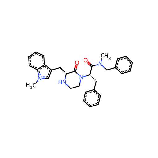 CN(Cc1ccccc1)C(=O)[C@H](Cc1ccccc1)N1CCN[C@@H](Cc2cn(C)c3ccccc23)C1=O